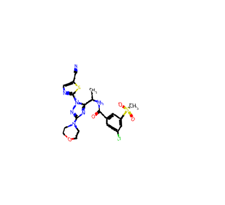 CC(NC(=O)c1cc(Cl)cc(S(C)(=O)=O)c1)c1nc(N2CCOCC2)nn1-c1ncc(C#N)s1